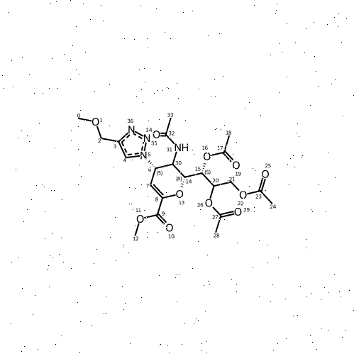 COCc1cn([C@H]2C=C(C(=O)OC)O[C@@H]([C@H](OC(C)=O)C(COC(C)=O)OC(C)=O)C2NC(C)=O)nn1